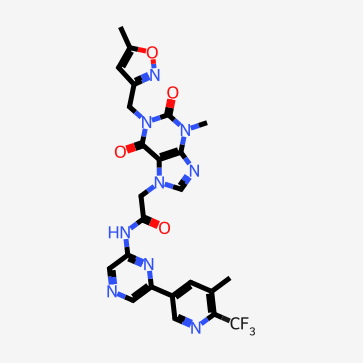 Cc1cc(Cn2c(=O)c3c(ncn3CC(=O)Nc3cncc(-c4cnc(C(F)(F)F)c(C)c4)n3)n(C)c2=O)no1